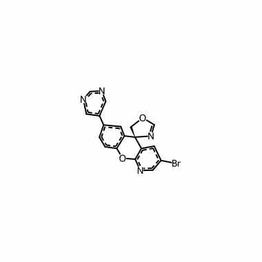 Brc1cnc2c(c1)[C@]1(COC=N1)c1cc(-c3cncnc3)ccc1O2